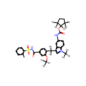 [2H]C([2H])([2H])Oc1cc(C(=O)NS(=O)(=O)c2ccccc2C)ccc1C([2H])([2H])c1cn(C([2H])([2H])[2H])c2ccc(NC(=O)OC3([2H])C([2H])([2H])CCC3([2H])[2H])cc12